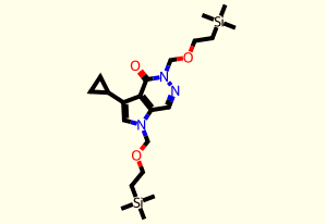 C[Si](C)(C)CCOCn1ncc2c(c(C3CC3)cn2COCC[Si](C)(C)C)c1=O